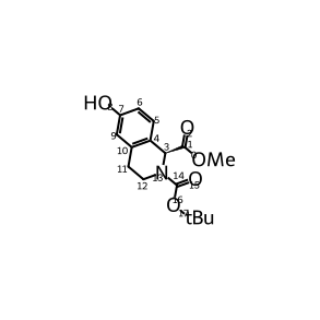 COC(=O)[C@@H]1c2ccc(O)cc2CCN1C(=O)OC(C)(C)C